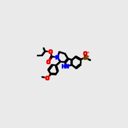 CCC(C)OC(=O)N1CCc2c([nH]c3ccc([S+](C)[O-])cc23)C1c1ccc(OC)cc1